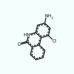 Nc1cc(Cl)c2c(c1)[nH]c(=O)c1ccccc12